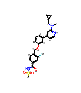 CN(CC1CC1)c1cc(-c2cccc(OCc3ccc(C(=O)NS(C)(=O)=O)cc3F)c2)ccn1